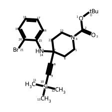 CC(C)(C)OC(=O)N1CCC(C#C[Si](C)(C)C)(Nc2ccccc2Br)CC1